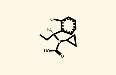 CC[C@@](O)(c1ccccc1Cl)N(C(=O)O)C1CC1